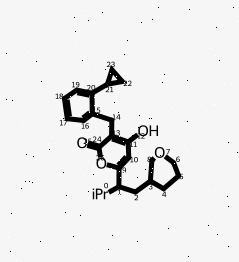 CC(C)C(CC1CCCOC1)c1cc(O)c(Cc2ccccc2C2CC2)c(=O)o1